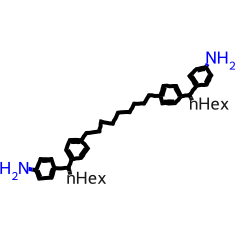 CCCCCCC(c1ccc(N)cc1)c1ccc(CCCCCCCCCc2ccc(C(CCCCCC)c3ccc(N)cc3)cc2)cc1